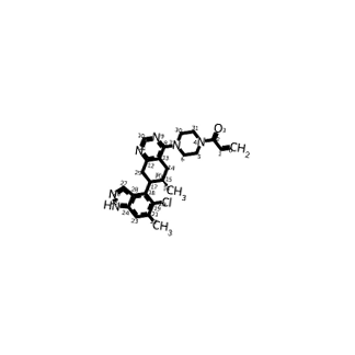 C=CC(=O)N1CCN(c2ncnc3c2C[C@@H](C)C(c2c(Cl)c(C)cc4[nH]ncc24)C3)CC1